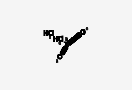 Cl.Cl.[O]=[Ti]=[O]